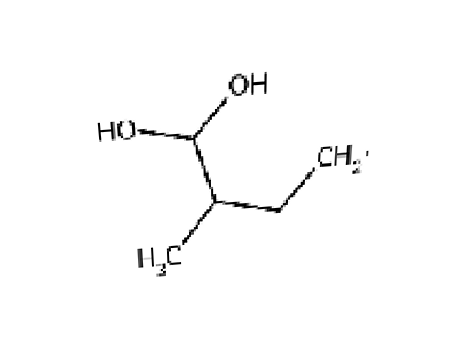 [CH2]CC(C)C(O)O